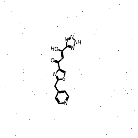 O=C(C=C(O)c1nn[nH]n1)c1csc(Cc2ccncc2)n1